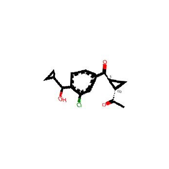 CC(=O)[C@H]1C[C@@H]1C(=O)c1ccc(C(O)C2CC2)c(Cl)c1